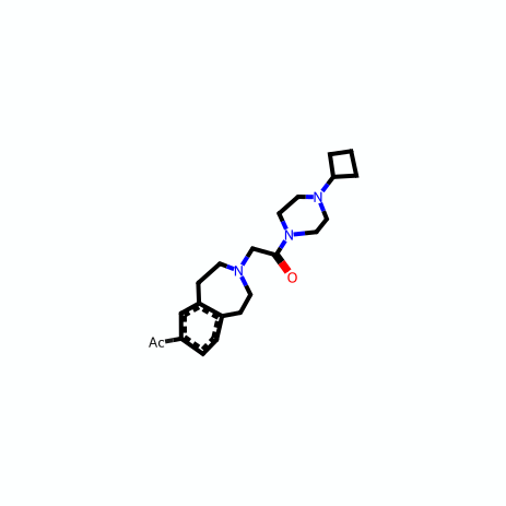 CC(=O)c1ccc2c(c1)CCN(CC(=O)N1CCN(C3CCC3)CC1)CC2